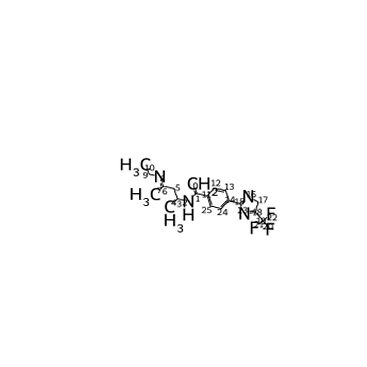 C=C(NC(C)C/C(C)=N/CC)c1ccc(C2=NCC(C(F)(F)F)=N2)cc1